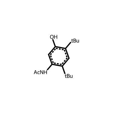 CC(=O)Nc1cc(O)c(C(C)(C)C)cc1C(C)(C)C